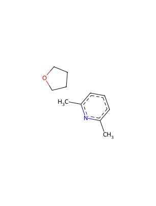 C1CCOC1.Cc1cccc(C)n1